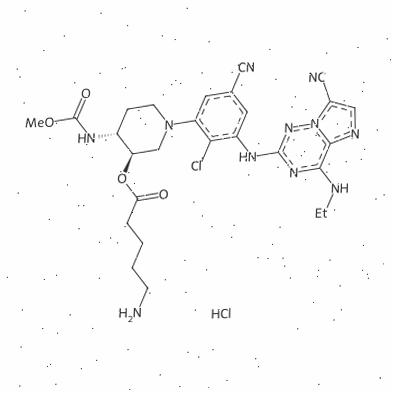 CCNc1nc(Nc2cc(C#N)cc(N3CC[C@@H](NC(=O)OC)[C@H](OC(=O)CCCCN)C3)c2Cl)nn2c(C#N)cnc12.Cl